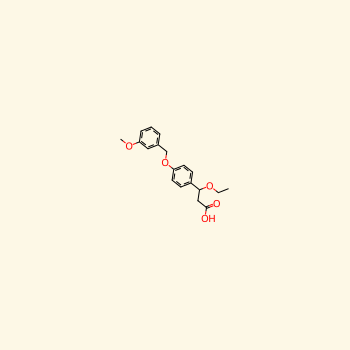 CCOC(CC(=O)O)c1ccc(OCc2cccc(OC)c2)cc1